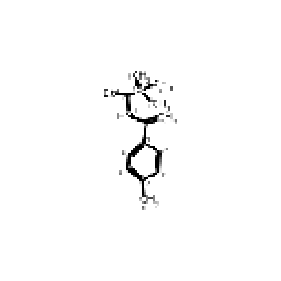 C=C(NC(CC)P(=C)(C)C)c1ccc(C)cc1